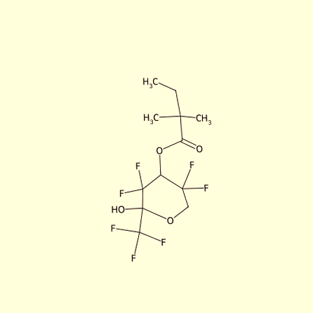 CCC(C)(C)C(=O)OC1C(F)(F)COC(O)(C(F)(F)F)C1(F)F